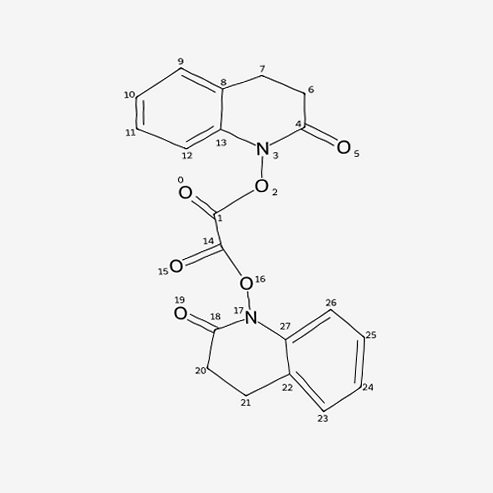 O=C(ON1C(=O)CCc2ccccc21)C(=O)ON1C(=O)CCc2ccccc21